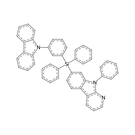 c1ccc(-n2c3cc([Si](c4ccccc4)(c4ccccc4)c4cccc(-n5c6ccccc6c6ccccc65)c4)ccc3c3cccnc32)cc1